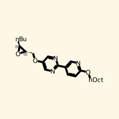 CCCCCCCCOc1ccc(-c2ncc(OC[C@@H]3O[C@H]3CCCC)cn2)cn1